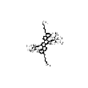 CCCCCCc1cc(F)cc2c1ccc1c3cc(C#C[Si](C(C)C)(C(C)C)C(C)C)c4c5cc(F)cc(CCCCCC)c5ccc4c3cc(C#C[Si](C)(C(C)C)C(C)C)c21